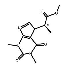 COC(=O)[C@@H](C)C1C=Nc2c1c(=O)n(C)c(=O)n2C